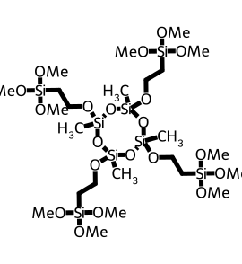 CO[Si](CCO[Si]1(C)O[Si](C)(OCC[Si](OC)(OC)OC)O[Si](C)(OCC[Si](OC)(OC)OC)O[Si](C)(OCC[Si](OC)(OC)OC)O1)(OC)OC